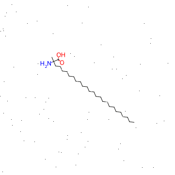 CCCCCCCCCCCCCCCCCCCCCCCCC(C)(N)C(=O)O